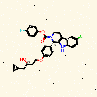 O=C(Oc1ccc(F)cc1)N1CCC2=C(NC3C=CC(Cl)=CC23)[C@@H]1c1ccc(OCC[C@H](O)CC2CC2)cc1